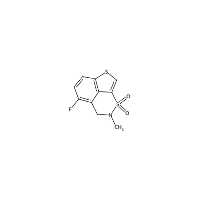 CN1Cc2c(F)ccc3scc(c23)S1(=O)=O